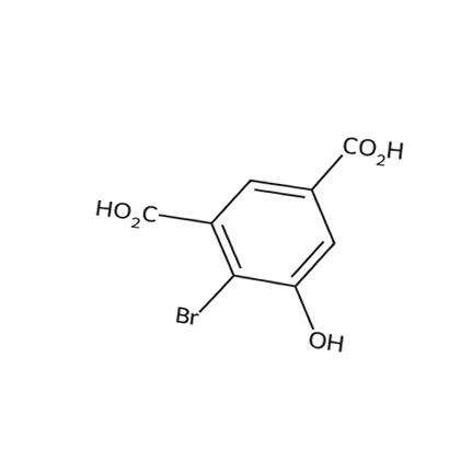 O=C(O)c1cc(O)c(Br)c(C(=O)O)c1